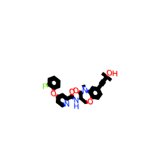 CN1C(=O)[C@@H](NC(=O)c2cc(Oc3ccccc3F)ccn2)COc2ccc(C#CC(C)(C)O)cc21